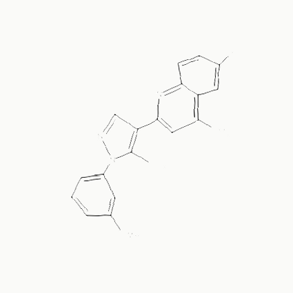 COc1cccc(-n2ncc(-c3cc(C(=O)O)c4cc(Br)ccc4n3)c2C)c1